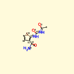 CC(=O)NC(=O)Nc1sccc1C(N)=O